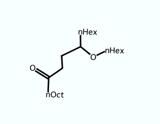 CCCCCCCCC(=O)CCC(CCCCCC)OCCCCCC